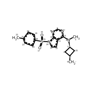 [CH2][C@H]1C[C@@H](N(C)c2ncnc3c2ccn3S(=O)(=O)c2ccc(C)cc2)C1